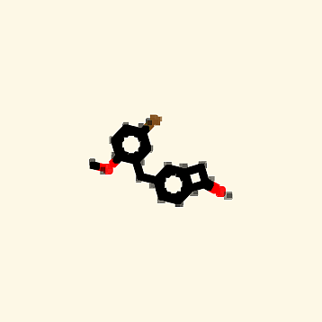 COc1ccc(Br)cc1Cc1ccc2c(c1)CC2=O